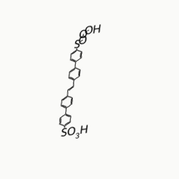 O=S(=O)(O)c1ccc(-c2ccc(C=Cc3ccc(-c4ccc(SOOO)cc4)cc3)cc2)cc1